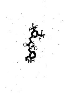 O=C1SC(Cc2cc(C(F)(F)F)cc(C(F)(F)F)c2)C(=O)N1Cc1cccc2[nH]ccc12